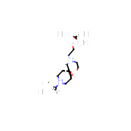 CC(C)(C)OCCN1CCOC2(CCN(C(C)(C)C)CC2)C1